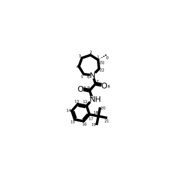 C[C@H]1CCCCN(C(=O)C(=O)Nc2ccccc2C(C)(C)C)C1